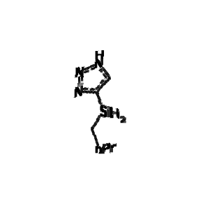 CCCC[SiH2]c1c[nH]nn1